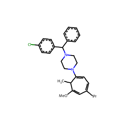 COC1=CC(C(C)C)=CC=C(N2CCN(C(c3ccccc3)c3ccc(Cl)cc3)CC2)C1C